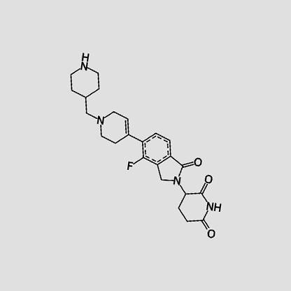 O=C1CCC(N2Cc3c(ccc(C4=CCN(CC5CCNCC5)CC4)c3F)C2=O)C(=O)N1